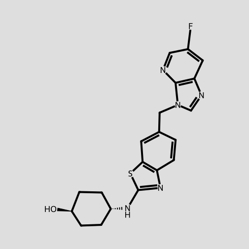 O[C@H]1CC[C@H](Nc2nc3ccc(Cn4cnc5cc(F)cnc54)cc3s2)CC1